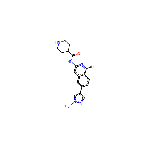 [2H]c1nc(NC(=O)C2CCNCC2)cc2cc(-c3cnn(C)c3)ccc12